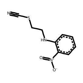 N#CSCCNc1ccccc1[N+](=O)[O-]